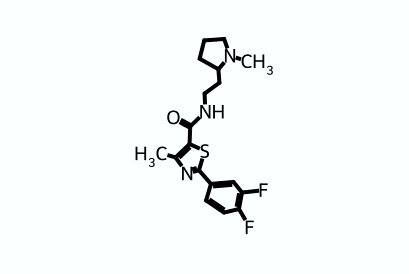 Cc1nc(-c2ccc(F)c(F)c2)sc1C(=O)NCCC1CCCN1C